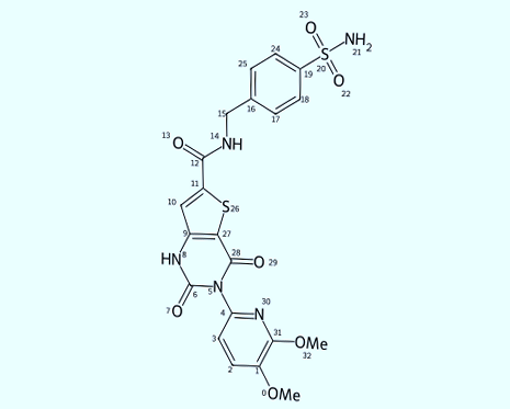 COc1ccc(-n2c(=O)[nH]c3cc(C(=O)NCc4ccc(S(N)(=O)=O)cc4)sc3c2=O)nc1OC